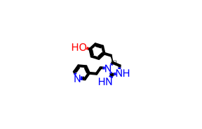 N=C1NC[C@H](Cc2ccc(O)cc2)N1CCc1cccnc1